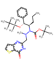 CCC[C@H]([C@H](O[Si](C)(C)C(C)(C)C)c1ccccc1)N(C(=O)OC(C)(C)C)N(C)Cc1nc2ccsc2c(=O)[nH]1